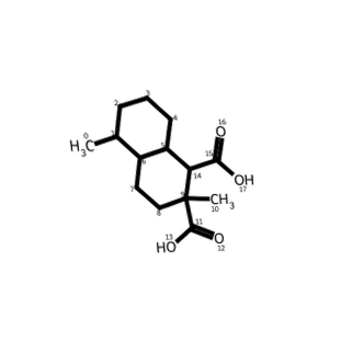 CC1CCCC2C1CCC(C)(C(=O)O)C2C(=O)O